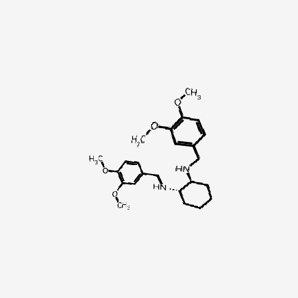 COc1ccc(CN[C@H]2CCCC[C@@H]2NCc2ccc(OC)c(OC)c2)cc1OC